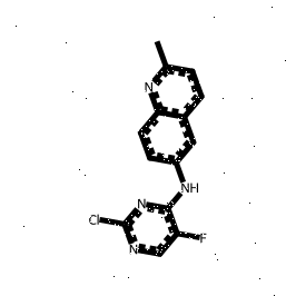 Cc1ccc2cc(Nc3nc(Cl)ncc3F)ccc2n1